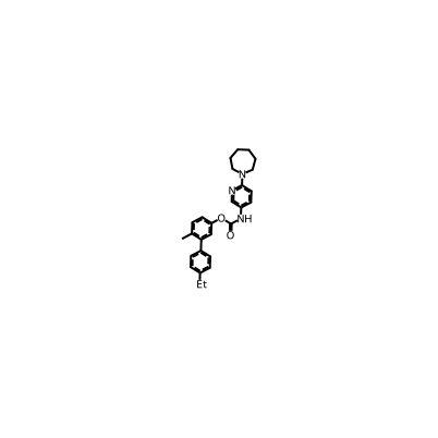 CCc1ccc(-c2cc(OC(=O)Nc3ccc(N4CCCCCC4)nc3)ccc2C)cc1